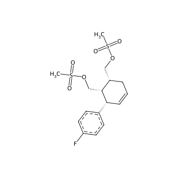 CS(=O)(=O)OC[C@@H]1CC=C[C@H](c2ccc(F)cc2)[C@@H]1COS(C)(=O)=O